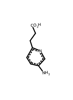 Nc1ccc(CCC(=O)O)nc1